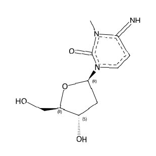 Cn1c(=N)ccn([C@H]2C[C@H](O)[C@@H](CO)O2)c1=O